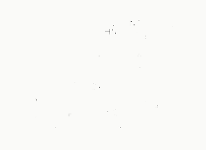 CCc1n[nH]c2cc(OCc3ccccc3)c(C(=O)OC)cc12